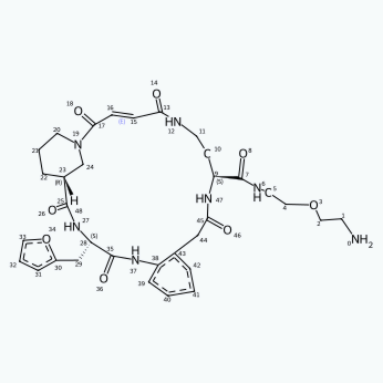 NCCOCCNC(=O)[C@@H]1CCNC(=O)/C=C/C(=O)N2CCC[C@H](C2)C(=O)N[C@@H](Cc2ccco2)C(=O)Nc2ccccc2CC(=O)N1